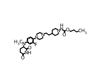 CCCCOC(=O)NN1CCC(CCN2CCN(c3ccc(N(C)C4CCC(=O)NC4=O)cc3F)CC2)CC1